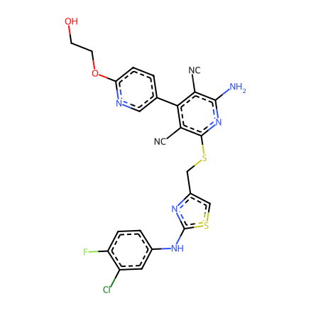 [C-]#[N+]c1c(N)nc(SCc2csc(Nc3ccc(F)c(Cl)c3)n2)c(C#N)c1-c1ccc(OCCO)nc1